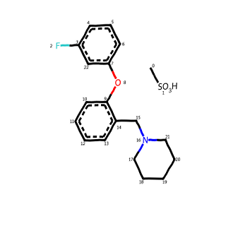 CS(=O)(=O)O.Fc1cccc(Oc2ccccc2CN2CCCCC2)c1